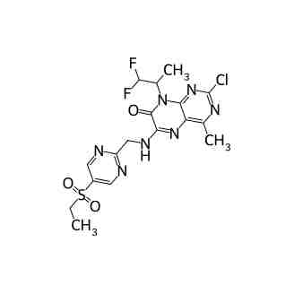 CCS(=O)(=O)c1cnc(CNc2nc3c(C)nc(Cl)nc3n(C(C)C(F)F)c2=O)nc1